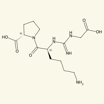 N=C(NCC(=O)O)N[C@@H](CCCCN)C(=O)N1CCC[C@H]1C(=O)O